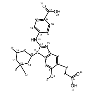 COc1cc2c(cc1CCC(=O)O)nc(Nc1ccc(C(=O)O)cc1)n2C1CC(C)CC(C)(C)C1